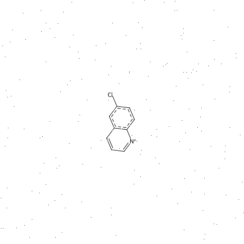 Clc1ccc2c(c1)C=CC=[N+]2